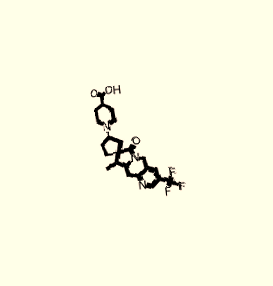 CC1C2Cc3ncc(C(F)(F)F)cc3CN2C(=O)[C@]12CC[C@H](N1CCC(C(=O)O)CC1)C2